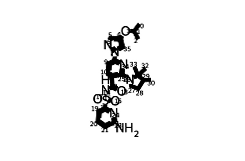 CC(C)Oc1cnn(-c2ccc(C(=O)NS(=O)(=O)c3cccc(N)n3)c(N3CCC(C)C3(C)C)n2)c1